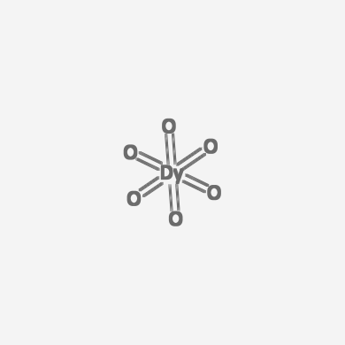 [O]=[Dy](=[O])(=[O])(=[O])(=[O])=[O]